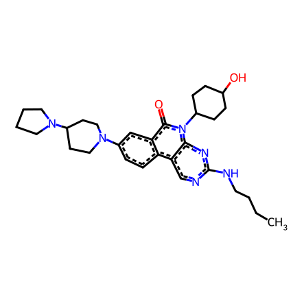 CCCCNc1ncc2c3ccc(N4CCC(N5CCCC5)CC4)cc3c(=O)n(C3CCC(O)CC3)c2n1